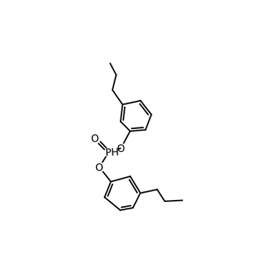 CCCc1cccc(O[PH](=O)Oc2cccc(CCC)c2)c1